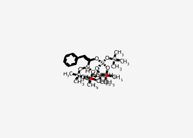 C[Si](C)(C)O[SiH](O[Si](C)(C)C)C(=Cc1ccccc1)O[Si](O[Si](C)(C)C)(O[Si](C)(C)C)O[Si](C)(C)C